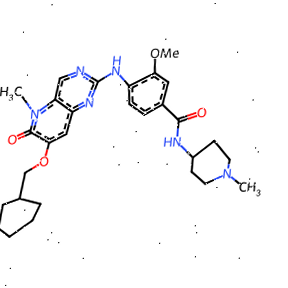 COc1cc(C(=O)NC2CCN(C)CC2)ccc1Nc1ncc2c(cc(OCC3CCCCC3)c(=O)n2C)n1